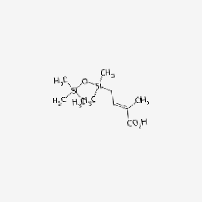 CC(=CC[Si](C)(C)O[Si](C)(C)C)C(=O)O